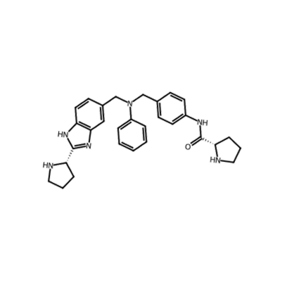 O=C(Nc1ccc(CN(Cc2ccc3[nH]c([C@@H]4CCCN4)nc3c2)c2ccccc2)cc1)[C@@H]1CCCN1